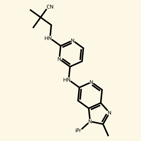 Cc1nc2cnc(Nc3ccnc(NCC(C)(C)C#N)n3)cc2n1C(C)C